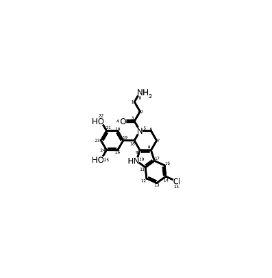 NCCC(=O)N1CCc2c([nH]c3ccc(Cl)cc23)C1c1cc(O)cc(O)c1